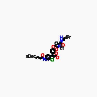 CCCCCCCCCCCCCC(=O)Nc1ccc(-c2cc(=O)oc3cc(OC(C)C(=O)N(CC)CC(=O)NCCC(C)C)ccc23)c(Cl)c1